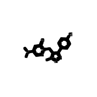 CN(C)c1cnn(Cc2c(-c3ccc(Cl)cc3)nnn2C)c(=O)c1